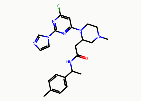 Cc1ccc(C(C)NC(=O)CC2CN(C)CCN2c2cc(Cl)nc(-n3ccnc3)n2)cc1